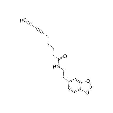 C#CC#CCCCCC(=O)NCCc1ccc2c(c1)OCO2